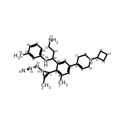 CC1=C(c2c(C)cc(C3=CCN(C4CCC4)CC3)cc2C(CCN)Nc2cccc(C)c2)N1N=[N+]=[N-]